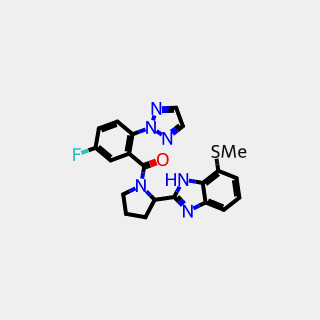 CSc1cccc2nc(C3CCCN3C(=O)c3cc(F)ccc3-n3nccn3)[nH]c12